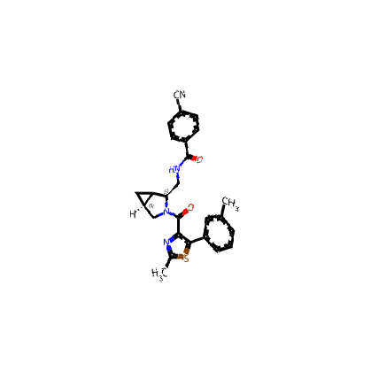 Cc1cccc(-c2sc(C)nc2C(=O)N2C[C@H]3CC3[C@H]2CNC(=O)c2ccc(C#N)cc2)c1